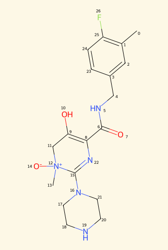 Cc1cc(CNC(=O)C2=C(O)C[N+](C)([O-])C(N3CCNCC3)=N2)ccc1F